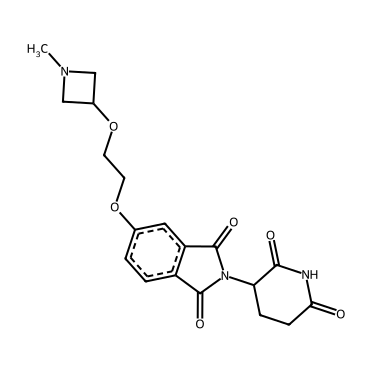 CN1CC(OCCOc2ccc3c(c2)C(=O)N(C2CCC(=O)NC2=O)C3=O)C1